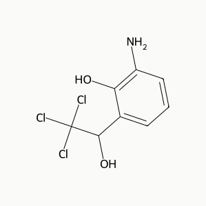 Nc1cccc(C(O)C(Cl)(Cl)Cl)c1O